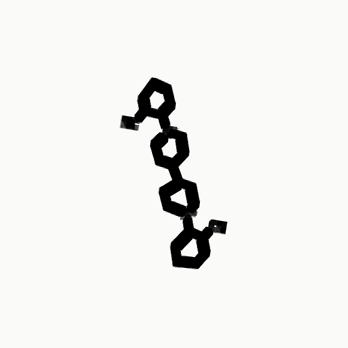 N#Cc1ccccc1-[n+]1ccc(-c2cc[n+](-c3ccccc3C#N)cc2)cc1